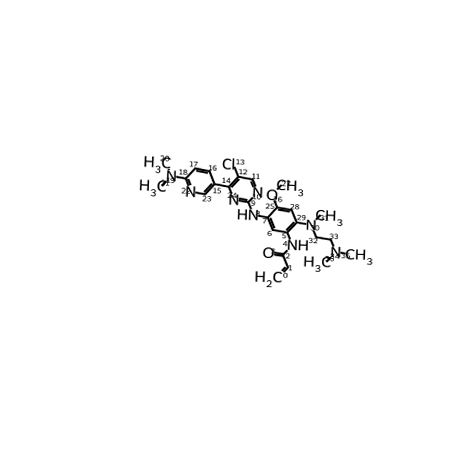 C=CC(=O)Nc1cc(Nc2ncc(Cl)c(-c3ccc(N(C)C)nc3)n2)c(OC)cc1N(C)CCN(C)C